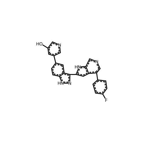 Oc1cncc(-c2ccc3[nH]nc(-c4cc5c(-c6ccc(F)cc6)cncc5[nH]4)c3c2)c1